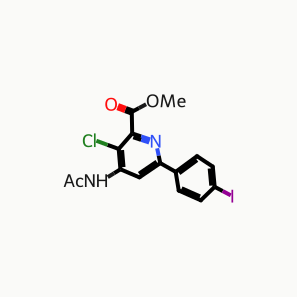 COC(=O)c1nc(-c2ccc(I)cc2)cc(NC(C)=O)c1Cl